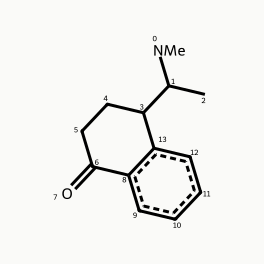 CNC(C)C1CCC(=O)c2ccccc21